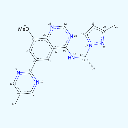 COc1cc(-c2ncc(C)cn2)cc2c(N[C@@H](C)n3ccc(C)n3)ncnc12